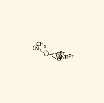 CCCC(CCC)NS(=O)(=O)c1ccc(-c2ccc(CCN3CCCC3C)cc2)cc1